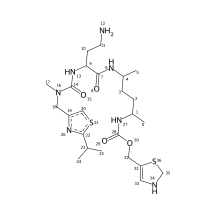 CC(CCC(C)NC(=O)C(CCN)NC(=O)N(C)Cc1csc(C(C)C)n1)NC(=O)OCC1=CNCS1